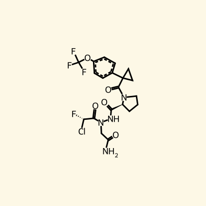 NC(=O)CN(NC(=O)[C@@H]1CCCN1C(=O)C1(c2ccc(OC(F)(F)F)cc2)CC1)C(=O)[C@@H](F)Cl